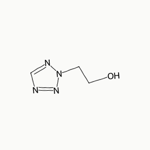 OCCn1ncnn1